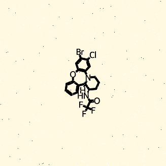 O=C(N[C@@H]1CCCN2c3cc(Cl)c(Br)cc3Oc3ccccc3[C@@H]12)C(F)(F)F